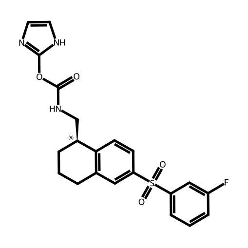 O=C(NC[C@@H]1CCCc2cc(S(=O)(=O)c3cccc(F)c3)ccc21)Oc1ncc[nH]1